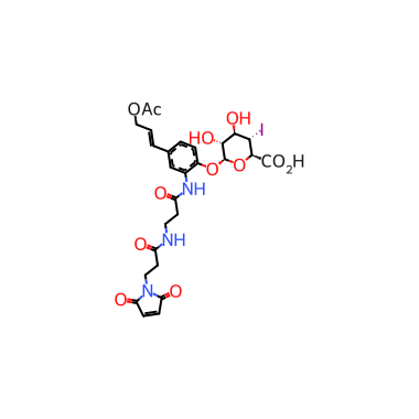 CC(=O)OC/C=C/c1ccc(O[C@@H]2O[C@H](C(=O)O)[C@@H](I)[C@H](O)[C@H]2O)c(NC(=O)CCNC(=O)CCN2C(=O)C=CC2=O)c1